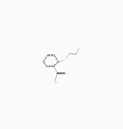 O=C(O)c1ccccc1OCCCl